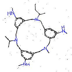 CCC(C)N1Cc2cc(cc(NC)c2)CN(C)Cc2cc(cc(NC)c2)CN(C(C)C)Cc2cc(cc(NC)c2)C1